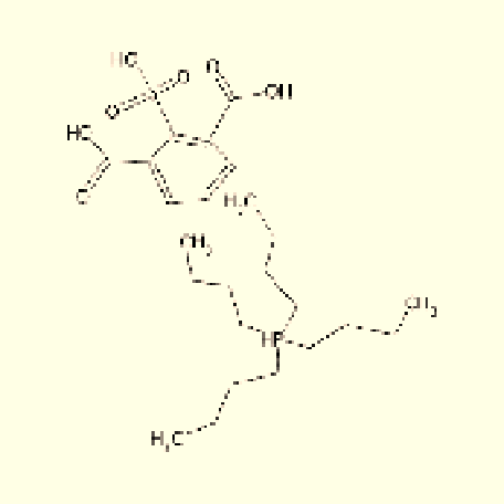 CCCC[PH](CCCC)(CCCC)CCCC.O=C(O)c1cccc(C(=O)O)c1S(=O)(=O)O